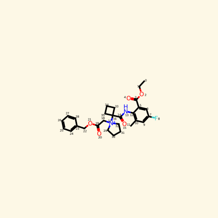 CCOC(=O)c1cc(F)cc(C)c1NC(=O)C1([N+]2(CC(=O)OCc3ccccc3)CCCC2)CCC1